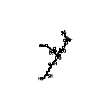 CCC(C)(CC(C)(CC(C)(C)C(=O)OCCOP(=O)([O-])OCC[N+](C)(C)C)C(=O)OCCNC(=O)CCCCC(S)CCS)C(=O)OCCOC